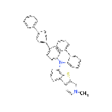 CN1C=Cc2c(sc3c(N(c4ccc(-c5ccc(-c6ccccc6)cc5)cc4)c4ccccc4-c4ccccc4)cccc23)C1